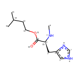 CN[C@@H](Cc1c[nH]cn1)C(=O)OCCC(C)C